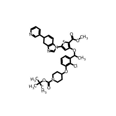 COC(=O)c1sc(-n2cnc3c2C=CC(c2cccnc2)C3)cc1OC(C)c1cccc(OC2CCN(C(=O)OC(C)(C)C)CC2)c1Cl